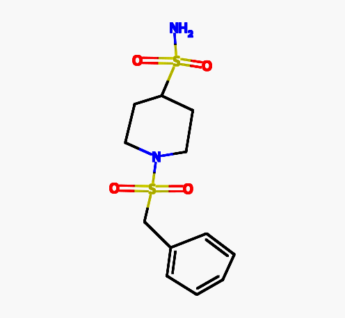 NS(=O)(=O)C1CCN(S(=O)(=O)Cc2ccccc2)CC1